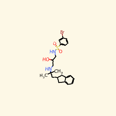 CC(C)(CC1Cc2ccccc2C1)NCC(O)CNS(=O)(=O)c1cccc(Br)c1